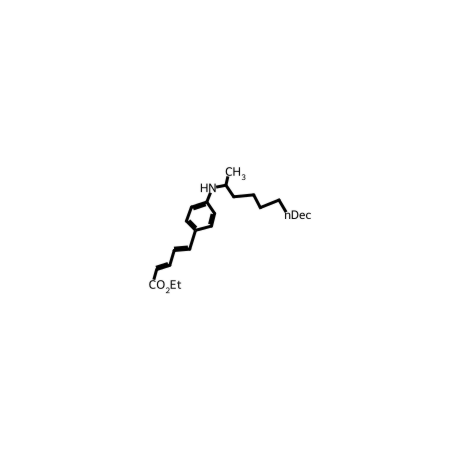 CCCCCCCCCCCCCCC(C)Nc1ccc(C=CC=CC(=O)OCC)cc1